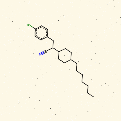 CCCCCCCC1CCC(C(C#N)Cc2ccc(Br)cc2)CC1